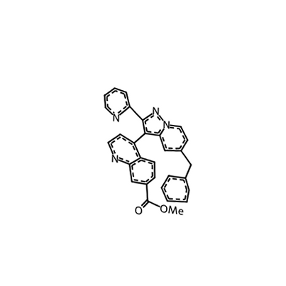 COC(=O)c1ccc2c(-c3c(-c4ccccn4)nn4ccc(Cc5ccccc5)cc34)ccnc2c1